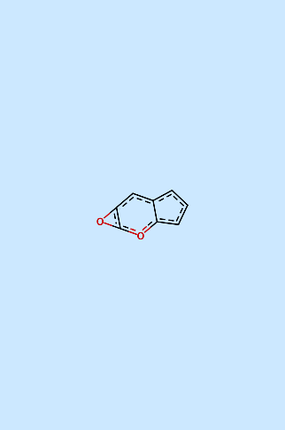 c1cc2cc3c(oc-2c1)O3